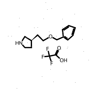 O=C(O)C(F)(F)F.c1ccc(COCC[C@H]2CCNC2)cc1